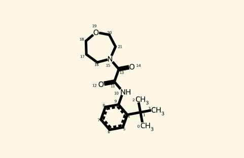 CC(C)(C)c1ccccc1NC(=O)C(=O)N1CCCOCC1